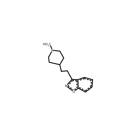 O=C(O)N1CCC(CCc2noc3ccccc23)CC1